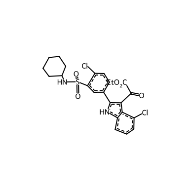 CCOC(=O)C(=O)c1c(-c2ccc(Cl)c(S(=O)(=O)NC3CCCCC3)c2)[nH]c2cccc(Cl)c12